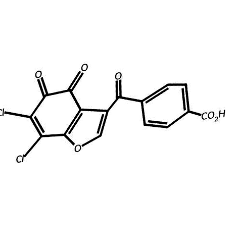 O=C1C(=O)c2c(C(=O)c3ccc(C(=O)O)cc3)coc2C(Cl)=C1Cl